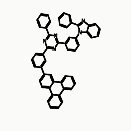 c1ccc(-c2nc(-c3cccc(-c4ccc5c6ccccc6c6ccccc6c5c4)c3)nc(-c3cccc(-n4c(-c5ccccc5)nc5ccccc54)c3)n2)cc1